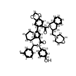 Cc1cccc(CN(C(=O)c2cc(-c3cc4c(cc3C(=O)N3Cc5ccccc5CC3CN3CCOCC3)OCO4)n3c2CCCC3)c2ccc(O)cc2)c1